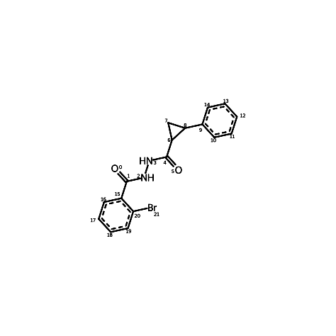 O=C(NNC(=O)C1CC1c1ccccc1)c1ccccc1Br